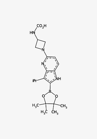 CC(C)c1c(B2OC(C)(C)C(C)(C)O2)[nH]c2ccc(N3CC(NC(=O)O)C3)nc12